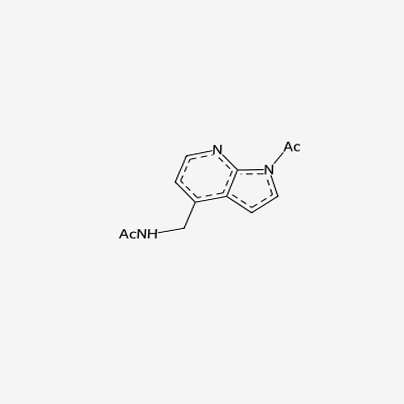 CC(=O)NCc1ccnc2c1ccn2C(C)=O